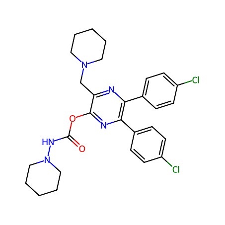 O=C(NN1CCCCC1)Oc1nc(-c2ccc(Cl)cc2)c(-c2ccc(Cl)cc2)nc1CN1CCCCC1